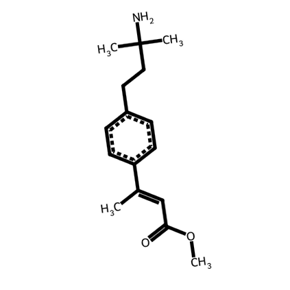 COC(=O)C=C(C)c1ccc(CCC(C)(C)N)cc1